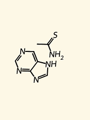 CC(N)=S.c1ncc2[nH]cnc2n1